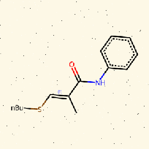 CCCCS/C=C(\C)C(=O)Nc1ccccc1